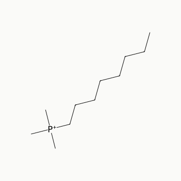 CCCCCCCC[P+](C)(C)C